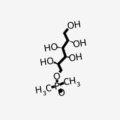 CP(C)(=O)OC[C@@H](O)[C@@H](O)[C@H](O)[C@@H](O)CO